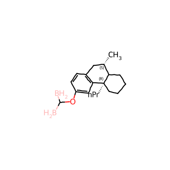 BC(B)Oc1ccc2c(c1)[C@]1(CCC)CCCCC1[C@@H](C)C2